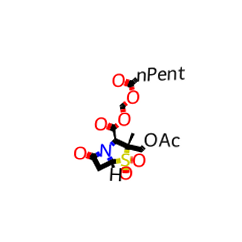 CCCCCC(=O)OCOC(=O)[C@@H]1N2C(=O)C[C@H]2S(=O)(=O)[C@@]1(C)COC(C)=O